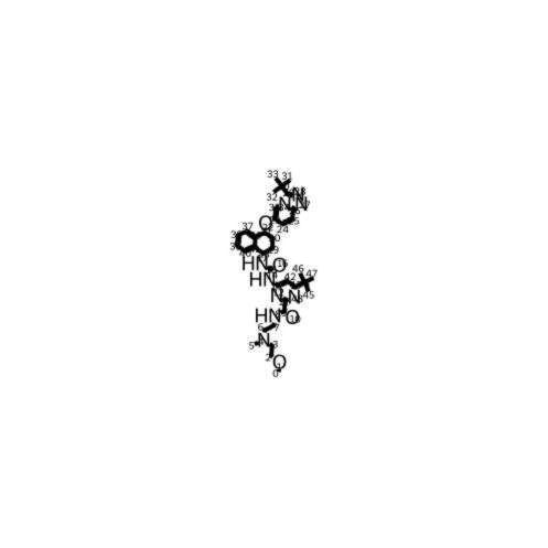 COCCN(C)CCNC(=O)c1nc(NC(=O)N[C@H]2CC[C@@H](Oc3ccc4nnc(C(C)(C)C)n4c3)c3ccccc32)cc(C(C)(C)C)n1